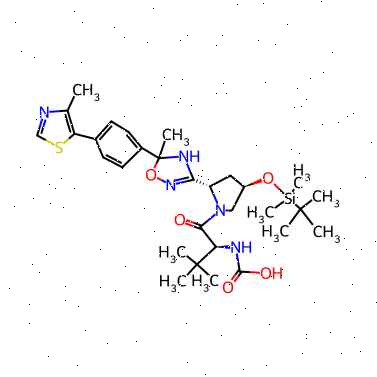 Cc1ncsc1-c1ccc(C2(C)NC([C@@H]3C[C@@H](O[Si](C)(C)C(C)(C)C)CN3C(=O)[C@@H](NC(=O)O)C(C)(C)C)=NO2)cc1